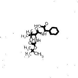 CC(C)(C)OC(=O)N[C@H](C(=O)N[C@H](C(=O)O)C1CCCCC1)C(C)(C)C